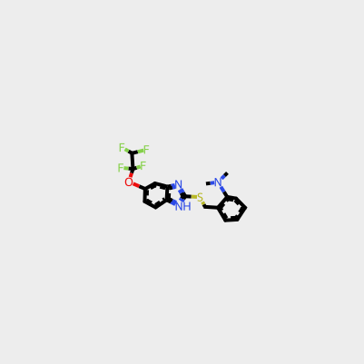 CN(C)c1ccccc1CSc1nc2cc(OC(F)(F)C(F)F)ccc2[nH]1